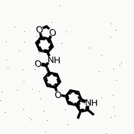 Cc1[nH]c2ccc(Oc3ccc(C(=O)Nc4ccc5c(c4)OCO5)cc3)cc2c1C